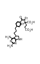 CCN(C(=O)c1ccc(CCCC2CNc3nc(N)nc(N)c32)cc1)[C@@](CC)(CCC(=O)O)C(=O)O